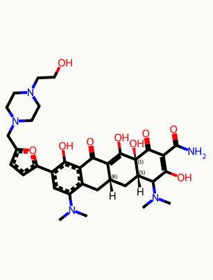 CN(C)c1cc(-c2ccc(CN3CCN(CCO)CC3)o2)c(O)c2c1C[C@H]1C[C@H]3C(N(C)C)C(O)=C(C(N)=O)C(=O)[C@@]3(O)C(O)=C1C2=O